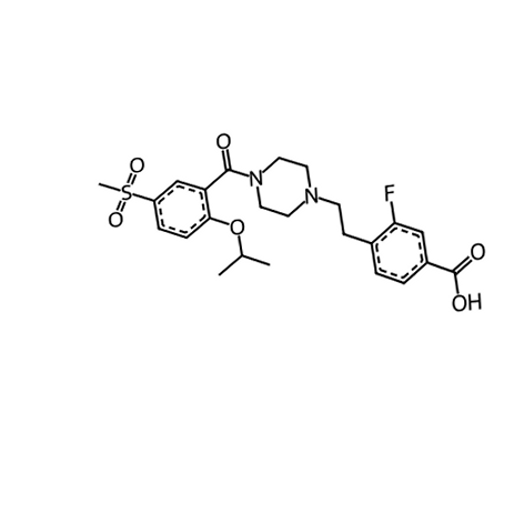 CC(C)Oc1ccc(S(C)(=O)=O)cc1C(=O)N1CCN(CCc2ccc(C(=O)O)cc2F)CC1